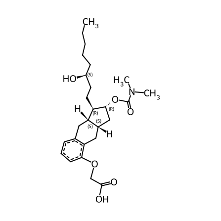 CCCCC[C@H](O)CC[C@@H]1[C@H]2Cc3cccc(OCC(=O)O)c3C[C@H]2C[C@H]1OC(=O)N(C)C